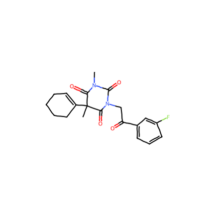 CN1C(=O)N(CC(=O)c2cccc(F)c2)C(=O)C(C)(C2=CCCCC2)C1=O